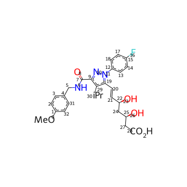 COc1ccc(CNC(=O)c2nn(-c3ccc(F)cc3)c(/C=C/[C@@H](O)C[C@@H](O)CC(=O)O)c2C(C)C)cc1